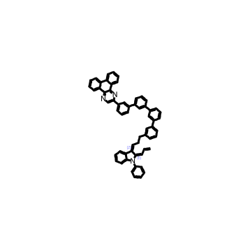 C=C/C=c1\c(=C/CCc2cccc(-c3cccc(-c4cccc(-c5cccc(-c6cnc7c8ccccc8c8ccccc8c7n6)c5)c4)c3)c2)c2ccccc2n1-c1ccccc1